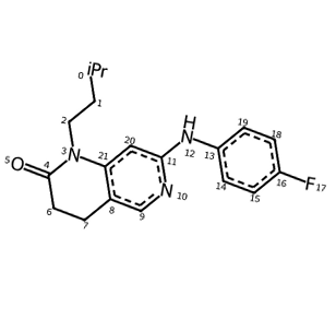 CC(C)CCN1C(=O)CCc2cnc(Nc3ccc(F)cc3)cc21